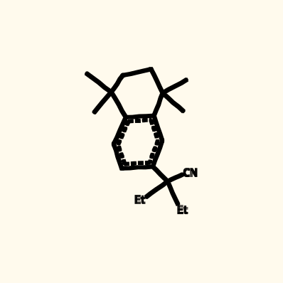 CCC(C#N)(CC)c1ccc2c(c1)C(C)(C)CCC2(C)C